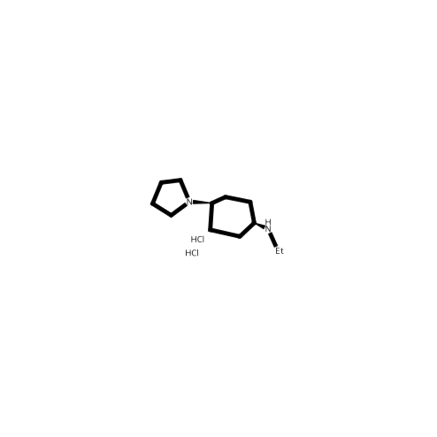 CCN[C@H]1CC[C@@H](N2CCCC2)CC1.Cl.Cl